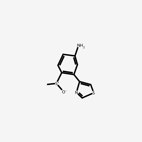 C[S+]([O-])c1ccc(N)cc1-c1cscn1